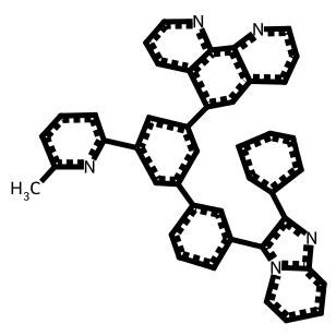 Cc1cccc(-c2cc(-c3cccc(-c4c(-c5ccccc5)nc5ccccn45)c3)cc(-c3cc4cccnc4c4ncccc34)c2)n1